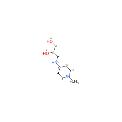 CN1CCC(NCC(O)CO)CC1